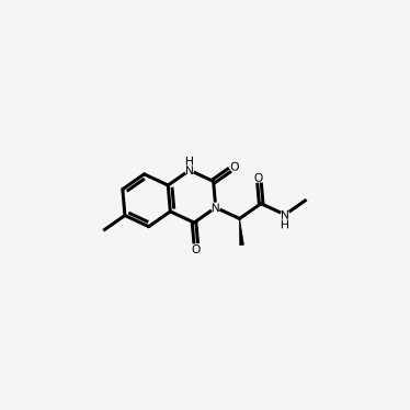 CNC(=O)[C@@H](C)n1c(=O)[nH]c2ccc(C)cc2c1=O